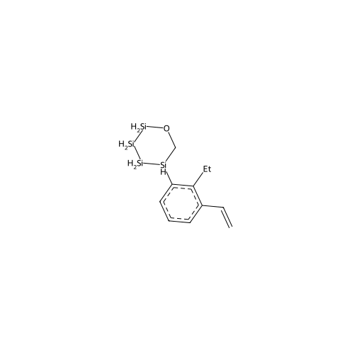 C=Cc1cccc([SiH]2CO[SiH2][SiH2][SiH2]2)c1CC